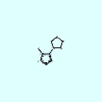 Cn1nccc1N1CCCC1